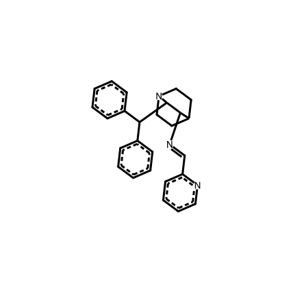 C(=NC1C2CCN(CC2)C1C(c1ccccc1)c1ccccc1)c1ccccn1